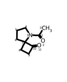 CC(=O)N1CCCC12CCC2=O